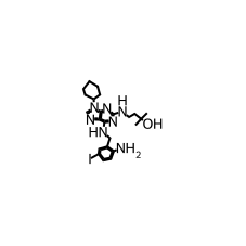 CC(C)(O)CCNc1nc(NCc2cc(I)ccc2N)c2ncn(C3CCCCC3)c2n1